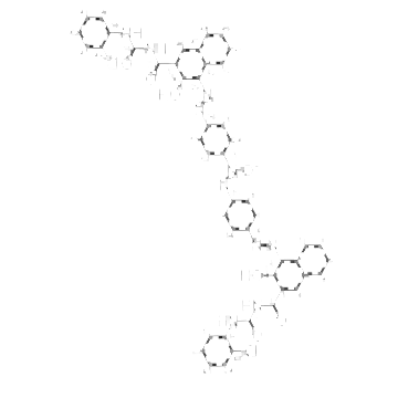 O=C(NC(=O)c1cc2ccccc2c(N=Nc2ccc(N=[N+]([O-])c3ccc(N=Nc4c(O)c(C(=O)NC(=O)Nc5ccccc5Cl)cc5ccccc45)cc3)cc2)c1O)Nc1ccccc1Cl